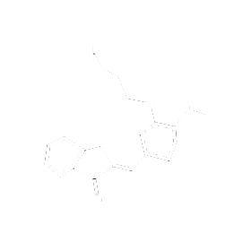 COc1ccc(/C=C2\Cc3ccccc3C2=O)cc1OCCCCl